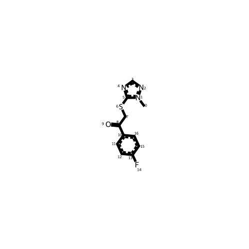 Cn1ncnc1SCC(=O)c1ccc(F)cc1